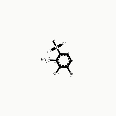 CS(=O)(=O)c1ccc(Br)c(Cl)c1C(=O)O